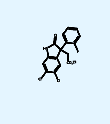 CCOC(=O)CC1(c2ccccc2F)C(=O)Nc2cc(Cl)c(Cl)cc21